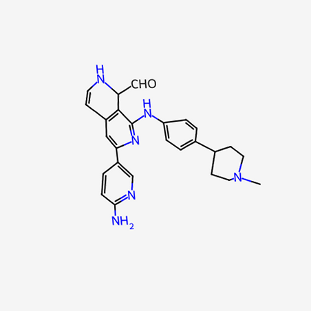 CN1CCC(c2ccc(Nc3nc(-c4ccc(N)nc4)cc4c3C(C=O)NC=C4)cc2)CC1